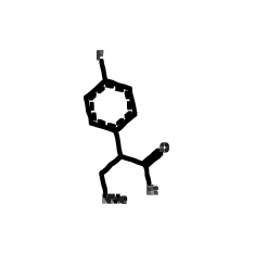 CCC(=O)C(CNC)c1ccc(F)cc1